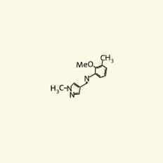 COc1c(C)cccc1/N=C/c1cnn(C)c1